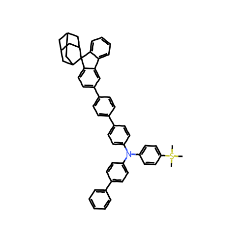 CS(C)(C)c1ccc(N(c2ccc(-c3ccccc3)cc2)c2ccc(-c3ccc(-c4ccc5c(c4)-c4ccccc4C54C5CC6CC(C5)CC4C6)cc3)cc2)cc1